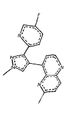 Cc1ccc2nccc(-c3cn(C)nc3-c3ccc(F)cn3)c2n1